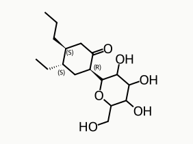 CCC[C@H]1CC(=O)[C@@H](C2OC(CO)C(O)C(O)C2O)C[C@@H]1CC